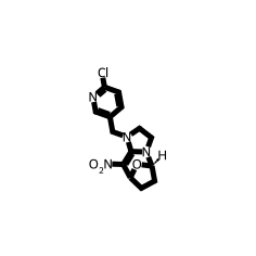 O=[N+]([O-])C1=C2N(Cc3ccc(Cl)nc3)CCN2[C@H]2CCC1O2